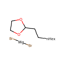 [Br][Mg][Br].[CH2]CCCCCCCC1OCCO1